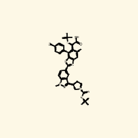 Cc1cc2nc(-c3ccc4c(c3)c(C3CCN(C(=O)OC(C)(C)C)C3)nn4C)sc2c(-c2ccc(Cl)cc2)c1C(OC(C)(C)C)C(=O)O